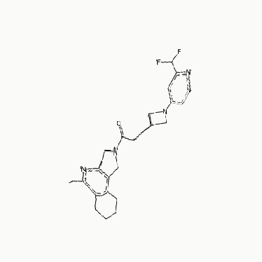 Cc1nc2c(c3c1CCCC3)CN(C(=O)CC1CN(c3ccnc(C(F)F)c3)C1)C2